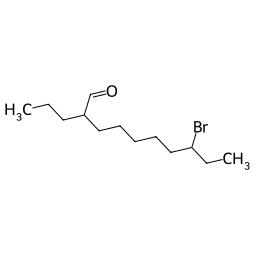 CCCC(C=O)CCCCCC(Br)CC